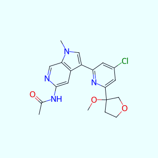 COC1(c2cc(Cl)cc(-c3cn(C)c4cnc(NC(C)=O)cc34)n2)CCOC1